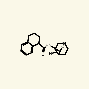 O=C(N[C@@H]1CN2CCC1CC2)C1CCCc2ccccc21